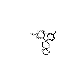 C=CC(N[S+]([O-])C(C)(C)C)C1(c2ccc(F)cc2)CCC2(CC1)OCCO2